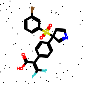 O=C(O)C(=C(F)F)c1ccc(C2(S(=O)(=O)c3cccc(Br)c3)C=CN=C2)cc1